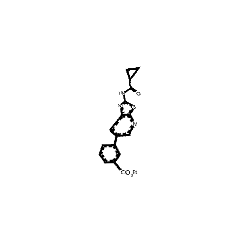 CCOC(=O)c1cccc(-c2cnc3sc(NC(=O)C4CC4)nc3c2)c1